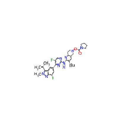 C=C(C)c1c2cc(-c3nc(Nc4nc5c(cc4C(C)(C)C)CN(OC(=O)N4CCCC4)CC5)ncc3F)cc(F)c2nn1C